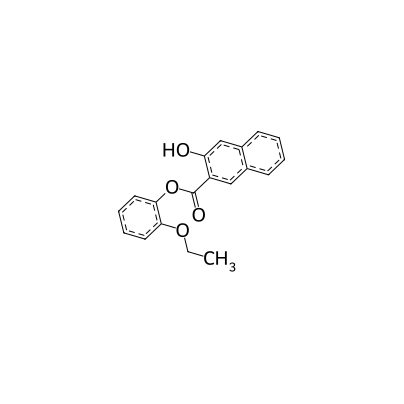 CCOc1ccccc1OC(=O)c1cc2ccccc2cc1O